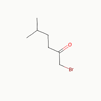 CC(C)CCC(=O)CBr